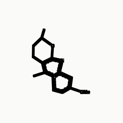 COc1ccc2c(C)c3c(nc2c1)OC(C)CC3